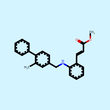 COC(=O)/C=C/c1ccccc1NCc1ccc(-c2ccccc2)c(C)c1